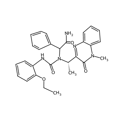 CCOc1ccccc1NC(=O)N(C(C(N)=O)c1ccccc1)[C@@H](C)c1nc2ccccc2n(C)c1=O